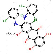 CCCCCCCCOc1c(Nc2c(Cl)cccc2Cl)c(Nc2c(Cl)cccc2Cl)c(F)c2c1C(=O)c1c(O)ccc(O)c1C2=O